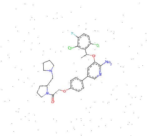 CC(Oc1cc(-c2ccc(OCC(=O)N3CCCC3CN3CCCC3)cc2)cnc1N)c1c(Cl)ccc(F)c1Cl